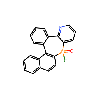 O=P1(Cl)c2cccnc2-c2ccccc2-c2c1ccc1ccccc21